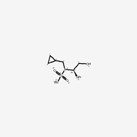 CCC[C@H](CO)N(CC1CC1)S(=O)(=O)C(C)(C)C